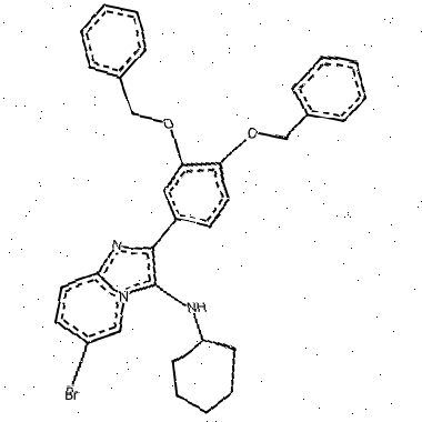 Brc1ccc2nc(-c3ccc(OCc4ccccc4)c(OCc4ccccc4)c3)c(NC3CCCCC3)n2c1